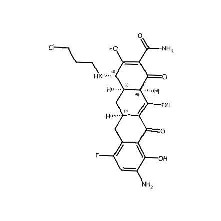 NC(=O)C1=C(O)[C@@H](NCCCCl)[C@@H]2C[C@@H]3Cc4c(F)cc(N)c(O)c4C(=O)C3=C(O)[C@@H]2C1=O